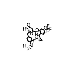 COc1ccc(Cc2nc(C(=O)NC(c3ccc(OC(F)(F)F)cc3)C3CC3)cc(=O)[nH]2)cc1F